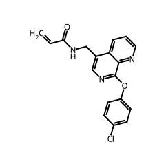 C=CC(=O)NCc1cnc(Oc2ccc(Cl)cc2)c2ncccc12